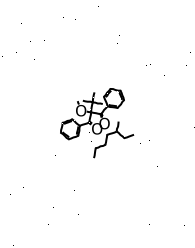 CCCCC(C)CC.COC(C(=O)c1ccccc1)(C(=O)c1ccccc1)C(C)(C)C